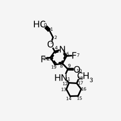 C#CCOc1nc(F)c(C(=O)NC2CCCCC2C)cc1F